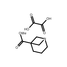 COC(=O)C12CCCN(C1)C2.O=C(O)C(=O)O